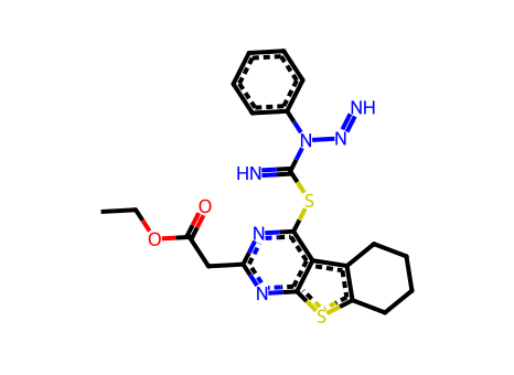 CCOC(=O)Cc1nc(SC(=N)N(N=N)c2ccccc2)c2c3c(sc2n1)CCCC3